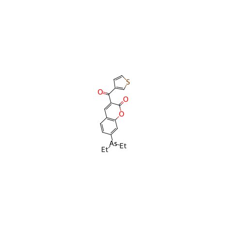 CC[As](CC)c1ccc2cc(C(=O)c3ccsc3)c(=O)oc2c1